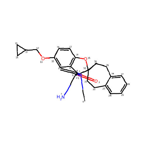 CN1C(=O)C2(N=C1N)c1cc(OCC3CC3)ccc1OC21CCc2ccccc2CC1